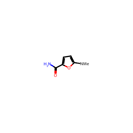 CNc1ccc(C(N)=O)o1